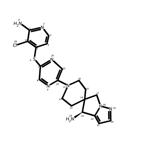 Nc1nccc(Sc2cnc(N3CCC4(CC3)Cn3nccc3[C@H]4N)cn2)c1Cl